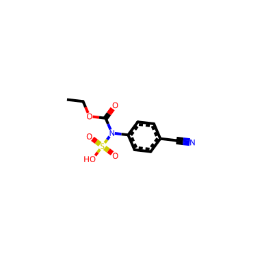 CCOC(=O)N(c1ccc(C#N)cc1)S(=O)(=O)O